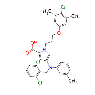 Cc1cccc(N(Cc2c(Cl)cccc2Cl)c2cc(C(=O)O)n(CCCOc3cc(C)c(Cl)c(C)c3)c2)c1